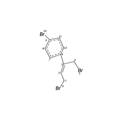 BrCC=C(CBr)c1ccc(Br)cc1